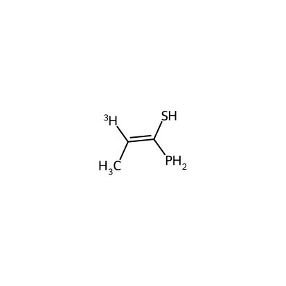 [3H]/C(C)=C(/P)S